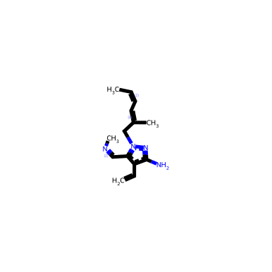 C=Cc1c(N)nn(C/C(C)=C/C=C\C)c1/C=N\C